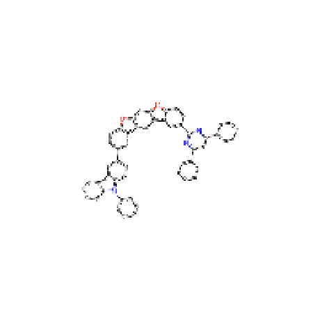 c1ccc(-c2cc(-c3ccccc3)nc(-c3ccc4oc5cc6oc7ccc(-c8ccc9c(c8)c8ccccc8n9-c8ccccc8)cc7c6cc5c4c3)n2)cc1